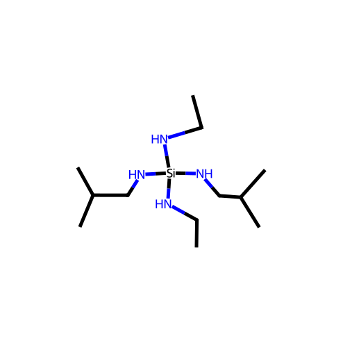 CCN[Si](NCC)(NCC(C)C)NCC(C)C